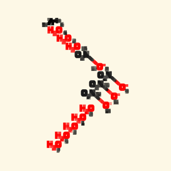 O.O.O.O.O.O.O.O.O=[N+]([O-])[O-].O=[N+]([O-])[O-].O=[N+]([O-])[O-].O=[N+]([O-])[O-].[Zr+4]